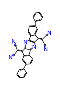 N#CC(C#N)=C1c2cc(-c3ccccc3)ccc2-c2nc3c(nc21)-c1ccc(-c2ccccc2)cc1C3=C(C#N)C#N